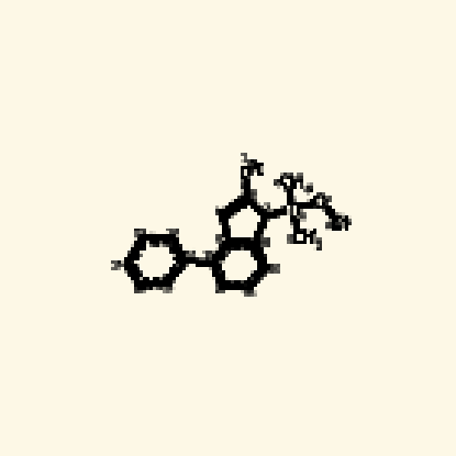 C[CH][O][Ti]([CH3])([CH3])[CH]1C(CCC)=Cc2c(-c3ccccc3)cccc21